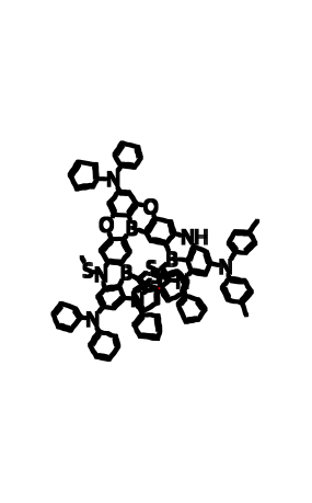 CSN1c2cc3c(cc2B2c4sc5ccccc5c4N(c4ccccc4)c4cc(N(c5ccccc5)c5ccccc5)cc1c42)B1c2cc4c(cc2Oc2cc(N(c5ccccc5)c5ccccc5)cc(c21)O3)Nc1cc(N(c2ccc(C)cc2)c2ccc(C)cc2)cc2c1B4c1sc3ccccc3c1N2c1ccccc1